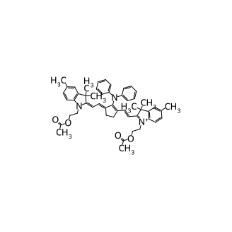 CC(=O)OCCN1/C(=C/C=C2\CCC(/C=C/C3=[N+](CCOC(C)=O)c4ccc(C)cc4C3(C)C)=C2N(c2ccccc2)c2ccccc2)C(C)(C)c2cc(C)ccc21